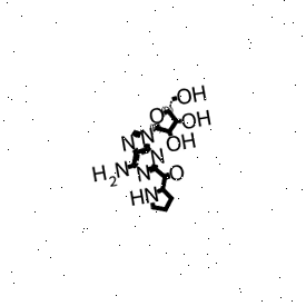 Nc1nc(C(=O)C2CCCN2)nc2c1ncn2[C@@H]1O[C@H](CO)C(O)C1O